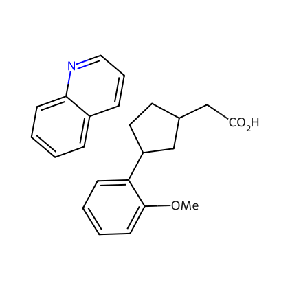 COc1ccccc1C1CCC(CC(=O)O)C1.c1ccc2ncccc2c1